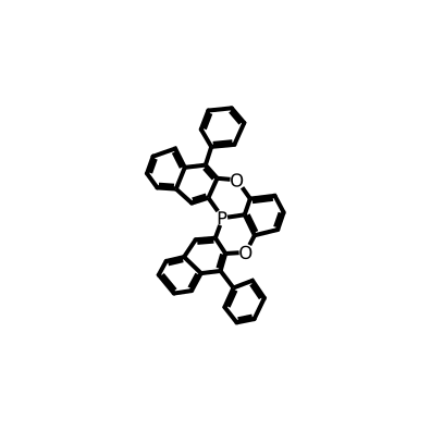 c1ccc(-c2c3c(cc4ccccc24)P2c4cc5ccccc5c(-c5ccccc5)c4Oc4cccc(c42)O3)cc1